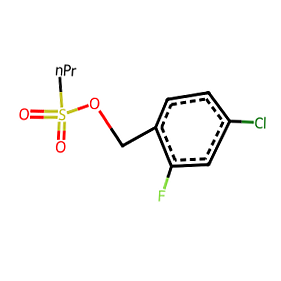 CCCS(=O)(=O)OCc1ccc(Cl)cc1F